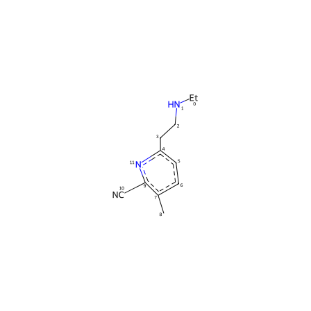 CCNCCc1ccc(C)c(C#N)n1